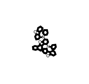 c1ccc(N(c2ccc(N(c3ccccc3)c3cccc4oc5ccccc5c34)c3c2oc2c4ccccc4ccc23)c2cccc3oc4ccccc4c23)cc1